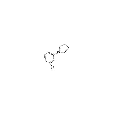 Clc1cccc(N2CCCC2)c1